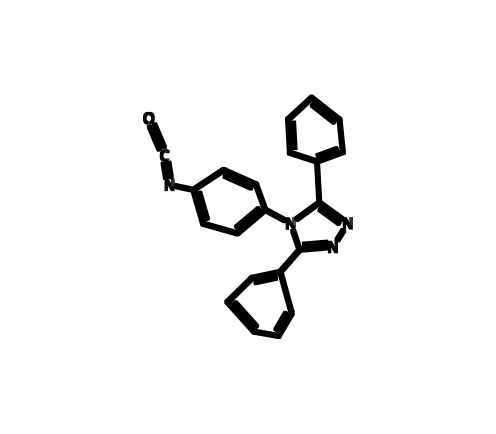 O=C=Nc1ccc(-n2c(-c3ccccc3)nnc2-c2ccccc2)cc1